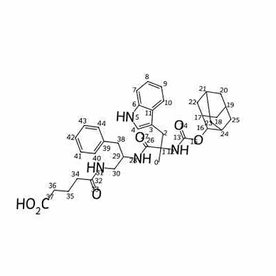 CC(Cc1c[nH]c2ccccc12)(NC(=O)OC1C2CC3CC(C2)CC1C3)C(=O)NC(CNC(=O)CCCC(=O)O)Cc1ccccc1